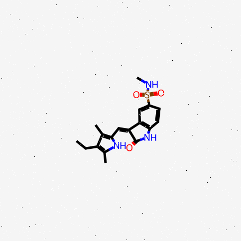 CCc1c(C)[nH]c(C=C2C(=O)Nc3ccc(S(=O)(=O)NC)cc32)c1C